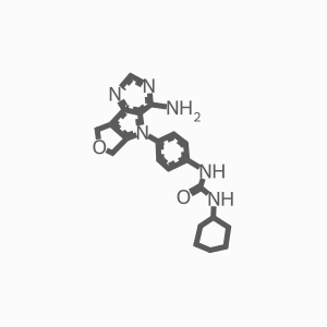 Nc1ncnc2c3c(n(-c4ccc(NC(=O)NC5CCCCC5)cc4)c12)COC3